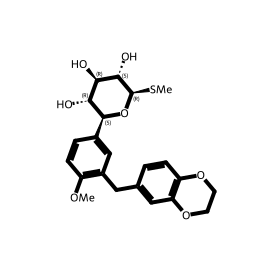 COc1ccc([C@@H]2O[C@H](SC)[C@@H](O)[C@H](O)[C@H]2O)cc1Cc1ccc2c(c1)OCCO2